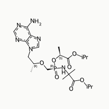 CC(C)OC(=O)[C@H](C)O[P@](=O)(CO[C@H](C)Cn1cnc2c(N)ncnc21)NC(C)(C)C(=O)OC(C)C